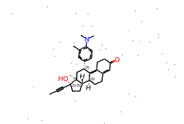 CC#C[C@]1(O)CC[C@H]2[C@@H]3CCC4=CC(=O)CCC4=C3[C@@H](c3ccc(N(C)C)c(C)c3)C[C@@]21C